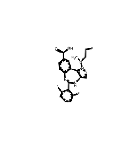 CN(CCF)n1ncc2c1-c1cc(C(=O)O)ccc1N=C(c1c(F)cccc1F)N2